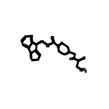 NCC(=O)NCC1CCN(C(=O)OCC2c3ccccc3-c3ccccc32)CC1